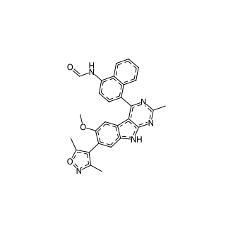 COc1cc2c(cc1-c1c(C)noc1C)[nH]c1nc(C)nc(-c3ccc(NC=O)c4ccccc34)c12